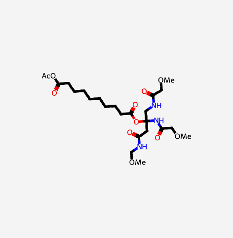 COCNC(=O)CC(CNC(=O)COC)(NC(=O)COC)OC(=O)CCCCCCCCC(=O)OC(C)=O